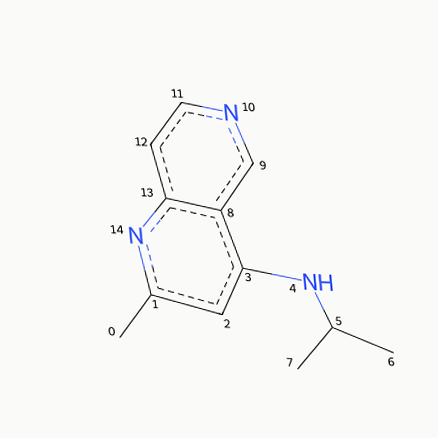 Cc1cc(NC(C)C)c2cnccc2n1